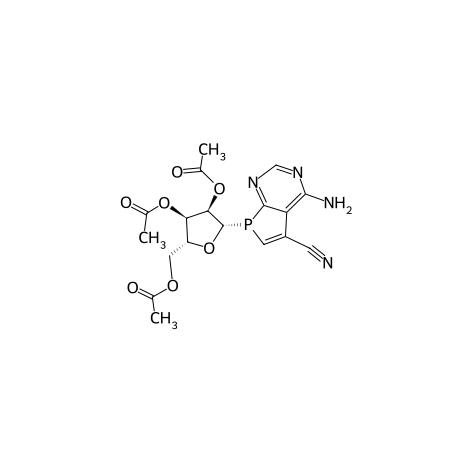 CC(=O)OC[C@H]1O[C@@H](p2cc(C#N)c3c(N)ncnc32)[C@H](OC(C)=O)[C@@H]1OC(C)=O